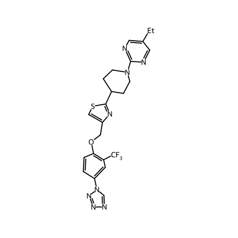 CCc1cnc(N2CCC(c3nc(COc4ccc(-n5cnnn5)cc4C(F)(F)F)cs3)CC2)nc1